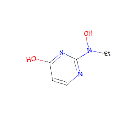 CCN(O)c1nccc(O)n1